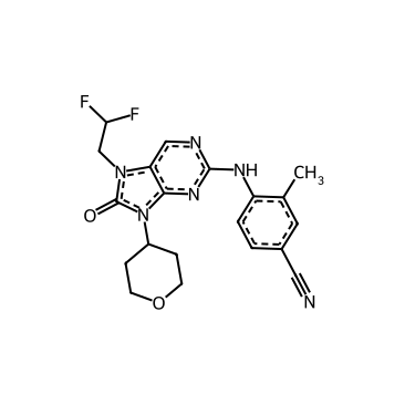 Cc1cc(C#N)ccc1Nc1ncc2c(n1)n(C1CCOCC1)c(=O)n2CC(F)F